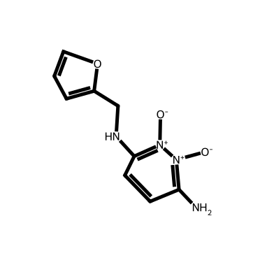 Nc1ccc(NCc2ccco2)[n+]([O-])[n+]1[O-]